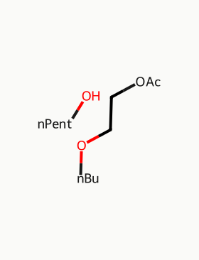 CCCCCO.CCCCOCCOC(C)=O